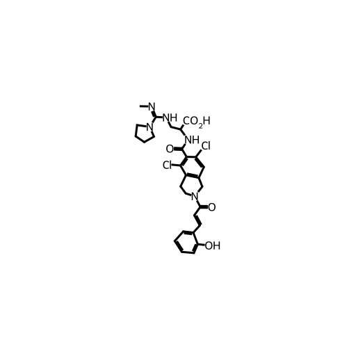 C/N=C(/NCC(NC(=O)c1c(Cl)cc2c(c1Cl)CCN(C(=O)/C=C/c1ccccc1O)C2)C(=O)O)N1CCCC1